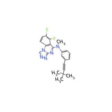 CN(c1cccc(C#CC(C)(C)C)c1)c1nc2nncn2c2ccc(F)c(F)c12